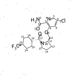 NC(=O)c1ncc(Cl)cc1OC[C@H]1CCCN1C(=O)[C@H]1CC[C@H](C(F)(F)F)CC1